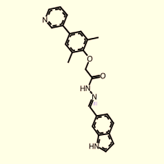 Cc1cc(-c2cccnc2)cc(C)c1OCC(=O)N/N=C/c1ccc2cc[nH]c2c1